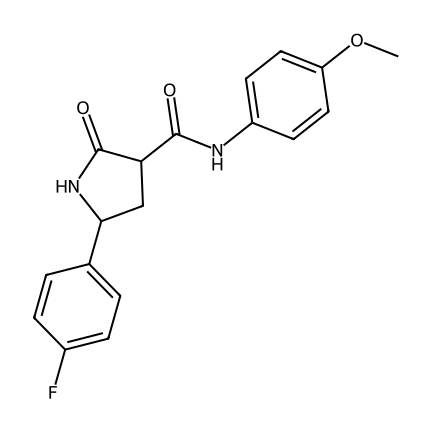 COc1ccc(NC(=O)C2CC(c3ccc(F)cc3)NC2=O)cc1